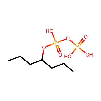 CCCC(CCC)OP(=O)(O)OP(=O)(O)O